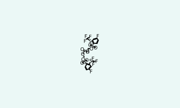 O=[PH](OCOS(=O)(=O)c1ccc(F)cc1SC(F)(F)F)OCOS(=O)(=O)c1ccc(F)cc1SC(F)(F)F